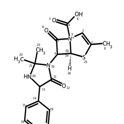 CC1=C[N+]2(C(=O)O)C(=O)C(N3C(=O)C(c4ccccc4)NC3(C)C)[C@@H]2S1